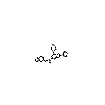 C(=N\Nc1cc(N2CCOCC2)n2nc(-c3ccncc3)cc2n1)/c1ccc2sccc2c1